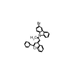 C=C(/C=C(\C=C(/C)c1ccccc1)c1ccccc1)n1c2ccccc2c2cc(Br)ccc21